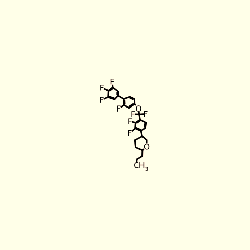 CCCC1CCC(c2ccc(C(F)(F)Oc3ccc(-c4cc(F)c(F)c(F)c4)c(F)c3)c(F)c2F)CO1